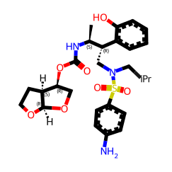 CC(C)CN(C[C@@H](c1ccccc1O)[C@H](C)NC(=O)O[C@H]1CO[C@H]2OCC[C@H]21)S(=O)(=O)c1ccc(N)cc1